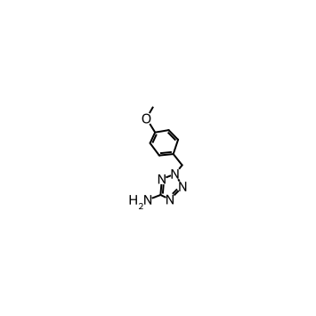 COc1ccc(Cn2nnc(N)n2)cc1